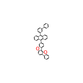 c1ccc(-c2cccc(-c3c4ccccc4c(-c4ccc5c(c4)oc4ccc6c7ccccc7oc6c45)c4ccccc34)c2)cc1